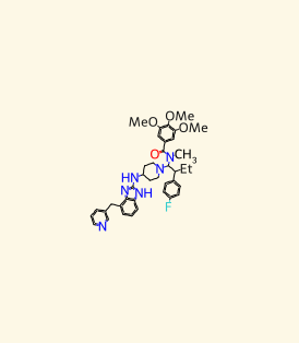 CCC(c1ccc(F)cc1)C(N1CCC(Nc2nc3c(Cc4cccnc4)cccc3[nH]2)CC1)N(C)C(=O)c1cc(OC)c(OC)c(OC)c1